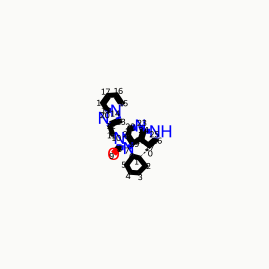 C[C@@H]1CCCC[C@@H]1n1c(=O)n(Cc2cn3ccccc3n2)c2cnc3[nH]ccc3c21